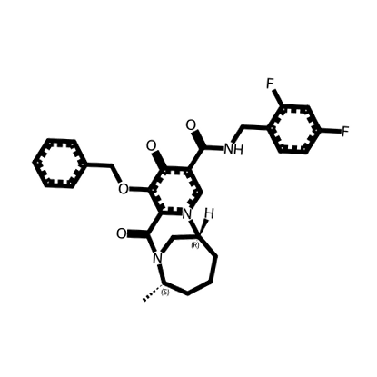 C[C@H]1CCC[C@@H]2CN1C(=O)c1c(OCc3ccccc3)c(=O)c(C(=O)NCc3ccc(F)cc3F)cn12